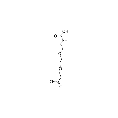 O=C(Cl)CCOCCOCCNC(=O)O